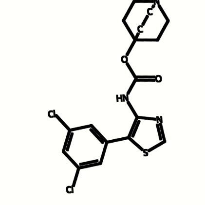 O=C(Nc1ncsc1-c1cc(Cl)cc(Cl)c1)OC12CCN(CC1)CC2